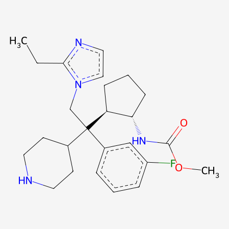 CCc1nccn1CC(c1cccc(F)c1)(C1CCNCC1)[C@H]1CCC[C@@H]1NC(=O)OC